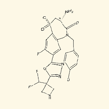 N[C@H]1CS(=O)(=O)c2cc(F)c(-c3nnc(C4(C(F)F)CNC4)o3)cc2N(Cc2ccc(Cl)cc2)C1=O